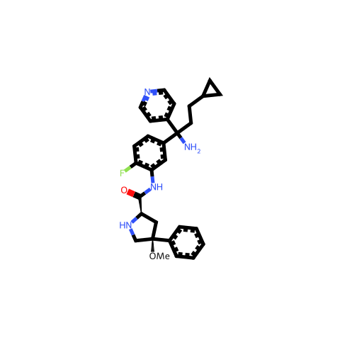 CO[C@@]1(c2ccccc2)CN[C@@H](C(=O)Nc2cc(C(N)(CCC3CC3)c3ccncc3)ccc2F)C1